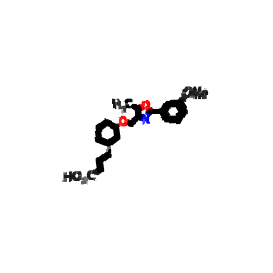 COc1cccc(-c2nc(CO[C@H]3CCC[C@@H](CCCC(=O)O)C3)c(C)o2)c1